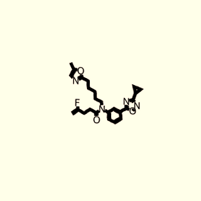 C=C(F)CCC(=O)N(CCCCCc1ncc(C)o1)c1cccc(-c2nc(C3CC3)no2)c1